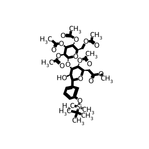 COC(=O)C[C@H]1OC(c2cccc(O[Si](C)(C)C(C)(C)C)c2)[C@@H](O)[C@@H](O[C@H]2O[C@H](COC(C)=O)[C@@H](OC(C)=O)[C@H](OC(C)=O)[C@@H]2OC(C)=O)[C@@H]1OC(C)=O